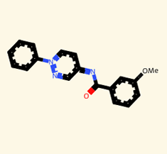 COc1cccc(C(=O)N=c2ccn(-c3ccccc3)nc2)c1